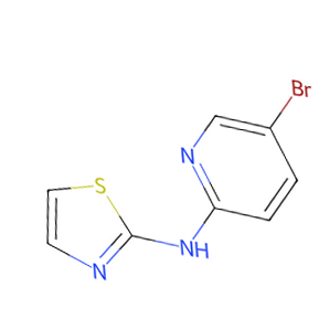 Brc1ccc(Nc2nccs2)nc1